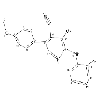 COc1ccc(-c2cnc(Nc3ccccc3C)c(Cl)c2C#N)cc1